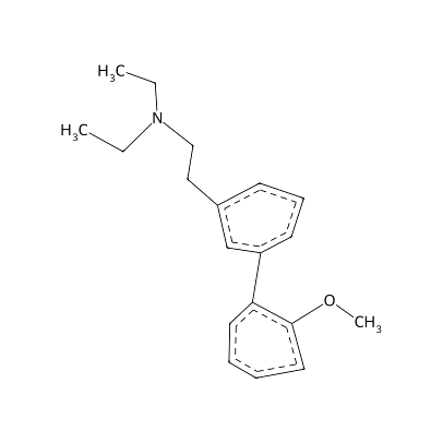 CCN(CC)CCc1cccc(-c2ccccc2OC)c1